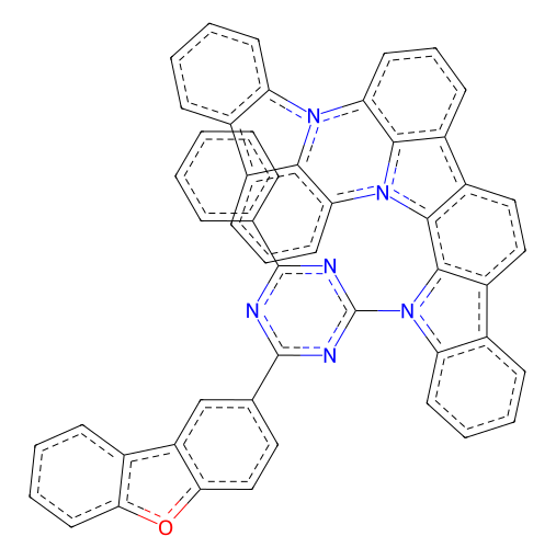 c1ccc(-c2nc(-c3ccc4oc5ccccc5c4c3)nc(-n3c4ccccc4c4ccc5c6cccc7c6n(c6cccc8c9ccccc9n7c86)c5c43)n2)cc1